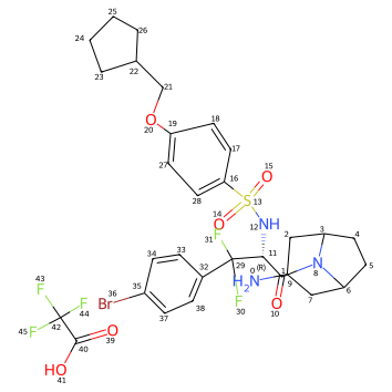 NC1CC2CCC(C1)N2C(=O)[C@@H](NS(=O)(=O)c1ccc(OCC2CCCC2)cc1)C(F)(F)c1ccc(Br)cc1.O=C(O)C(F)(F)F